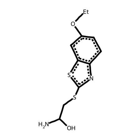 CCOc1ccc2nc(SCC(N)O)sc2c1